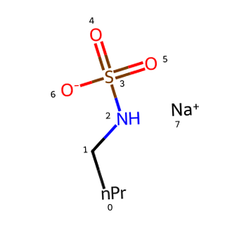 CCCCNS(=O)(=O)[O-].[Na+]